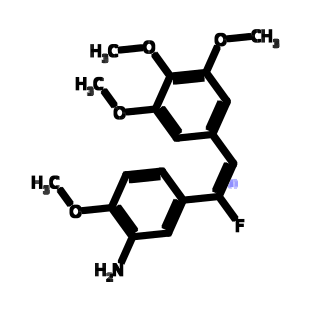 COc1ccc(/C(F)=C\c2cc(OC)c(OC)c(OC)c2)cc1N